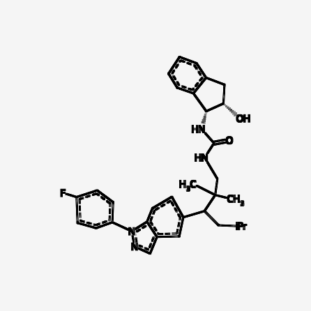 CC(C)CC(c1ccc2c(cnn2-c2ccc(F)cc2)c1)C(C)(C)CNC(=O)N[C@@H]1c2ccccc2C[C@@H]1O